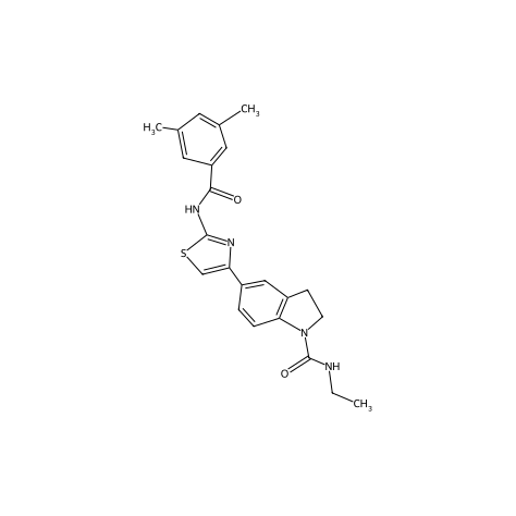 CCNC(=O)N1CCc2cc(-c3csc(NC(=O)c4cc(C)cc(C)c4)n3)ccc21